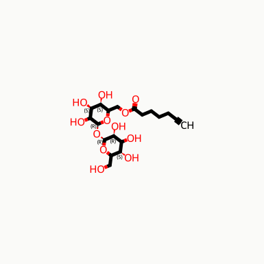 C#CCCCCC(=O)OCC1O[C@H](O[C@H]2OC(CO)[C@@H](O)C(O)[C@H]2O)C(O)[C@@H](O)[C@@H]1O